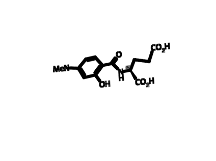 CNc1ccc(C(=O)N[C@@H](CCC(=O)O)C(=O)O)c(O)c1